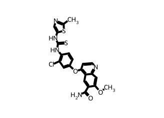 COc1cc2nccc(Oc3ccc(NC(=S)Nc4cnc(C)s4)c(Cl)c3)c2cc1C(N)=O